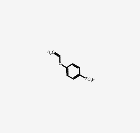 C=COc1ccc(S(=O)(=O)O)cc1